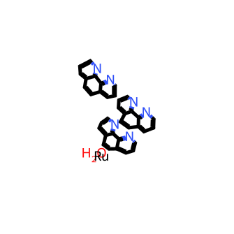 O.[Ru].c1cnc2c(c1)ccc1cccnc12.c1cnc2c(c1)ccc1cccnc12.c1cnc2c(c1)ccc1cccnc12